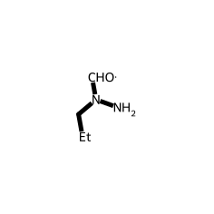 CCCN(N)[C]=O